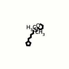 C[Si](C)(CCCCCC1CCCC1)C1CCCCO1